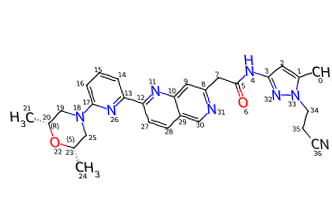 Cc1cc(NC(=O)Cc2cc3nc(-c4cccc(N5C[C@@H](C)O[C@@H](C)C5)n4)ccc3cn2)nn1CCC#N